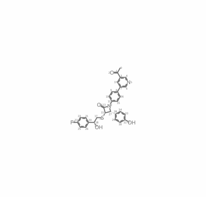 CC(=O)c1cncc(-c2ccc(N3C(=O)[C@H](SC[C@@H](O)c4ccc(F)cc4)[C@H]3c3ccc(O)cc3)cc2)c1